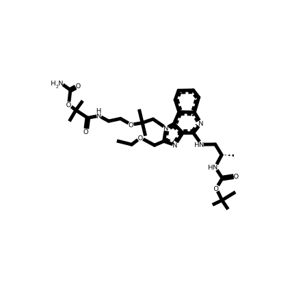 CCOCc1nc2c(NC[C@H](C)NC(=O)OC(C)(C)C)nc3ccccc3c2n1CC(C)(C)OCCNC(=O)C(C)(C)OC(N)=O